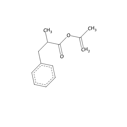 C=C(C)OC(=O)C(C)Cc1ccccc1